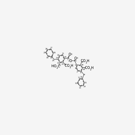 O=C(OC(=O)c1ccc(Cc2ccccc2)c(C(=O)O)c1C(=O)O)c1ccc(Cc2ccccc2)c(C(=O)O)c1C(=O)O